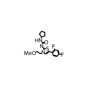 COCCn1cc(-c2ccc(F)cc2F)sc1=NC(=O)NC1CCCC1